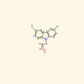 CC1(Cn2c3ccc(F)cc3c3cc(F)ccc32)CO1